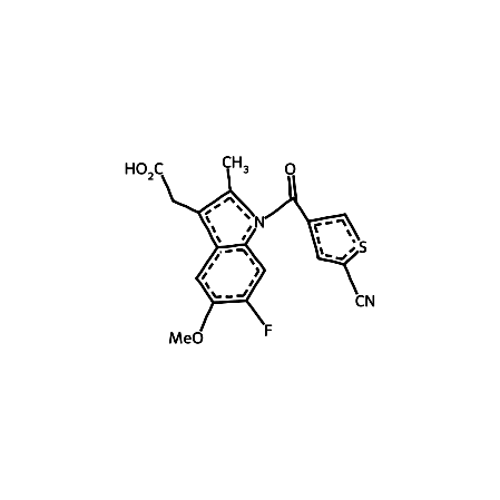 COc1cc2c(CC(=O)O)c(C)n(C(=O)c3csc(C#N)c3)c2cc1F